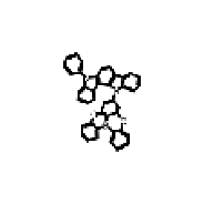 c1ccc(-n2c3ccccc3c3c2ccc2c4ccccc4n(-c4cc5c6c(c4)Oc4ccccc4B6c4ccccc4O5)c23)cc1